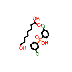 O=C(O)CCCCCCCO.O=P(O)(c1cccc(Cl)c1)c1cccc(Cl)c1